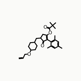 C=CCOC1CCC(CC2CC(OC(=O)C(C)(C)C)=C(c3c(C)cc(C)cc3C)C2=O)CC1